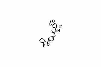 COc1cc2c(cc1NC(=O)CN1CCN(C(=O)c3ccccc3F)CC1)OCO2